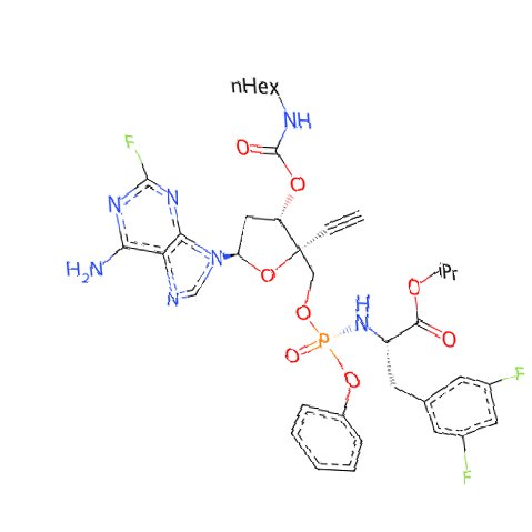 C#C[C@]1(CO[P@@](=O)(N[C@@H](Cc2cc(F)cc(F)c2)C(=O)OC(C)C)Oc2ccccc2)O[C@@H](n2cnc3c(N)nc(F)nc32)C[C@@H]1OC(=O)NCCCCCC